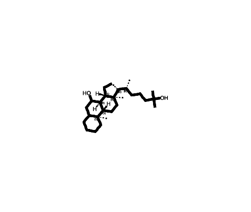 C[C@H](CCCC(C)(C)O)[C@H]1CC[C@H]2[C@@H]3C(O)CC4CCCC[C@]4(C)[C@H]3CC[C@]12C